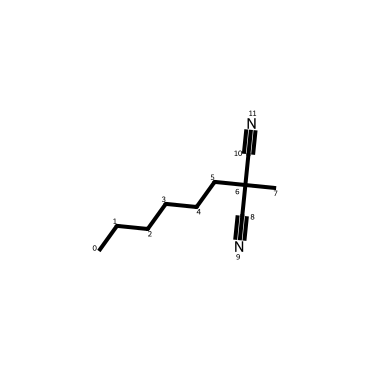 CCCCCCC(C)(C#N)C#N